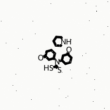 C1CCNCC1.O=C1CCCC(N(C(=S)S)C2CCCC(=O)C2)C1